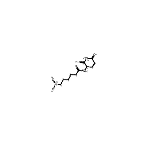 O=C1CCC(NC(=O)CCCCC[N+](=O)[O-])C(=O)N1